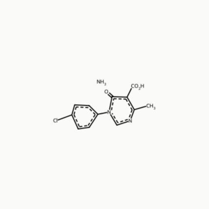 Cc1ncn(-c2ccc(Cl)cc2)c(=O)c1C(=O)O.N